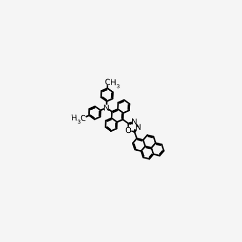 Cc1ccc(N(c2ccc(C)cc2)c2c3ccccc3c(-c3nnc(-c4ccc5ccc6cccc7ccc4c5c67)o3)c3ccccc23)cc1